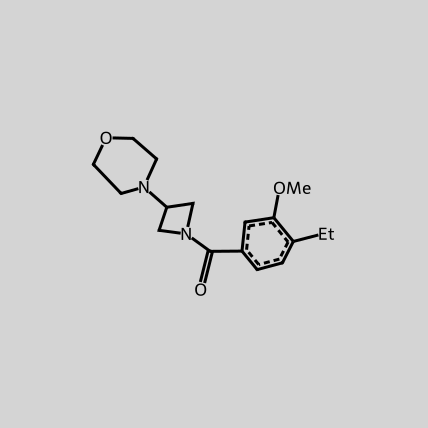 CCc1ccc(C(=O)N2CC(N3CCOCC3)C2)cc1OC